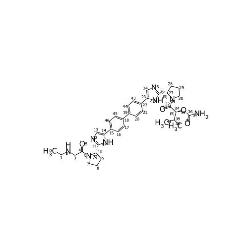 CCNCC(=O)N1CCC[C@H]1c1ncc(-c2ccc(-c3ccc(-c4cnc([C@@H]5CCCN5C(=O)[C@@H](OC(N)=O)C(C)C)[nH]4)cc3)cc2)[nH]1